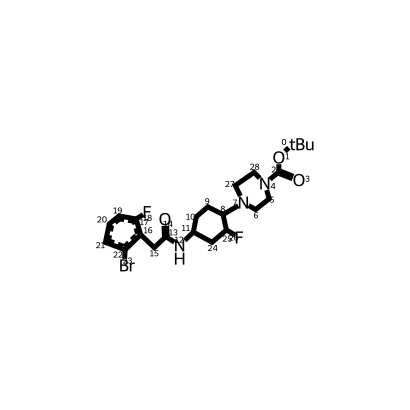 CC(C)(C)OC(=O)N1CCN(C2CCC(NC(=O)Cc3c(F)cccc3Br)CC2F)CC1